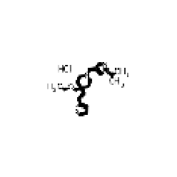 CCOCC1(CCc2cccs2)CCN(Cc2cnn(C(C)C)c2)CC1.Cl